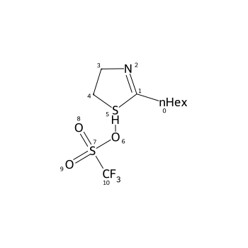 CCCCCCC1=NCC[SH]1OS(=O)(=O)C(F)(F)F